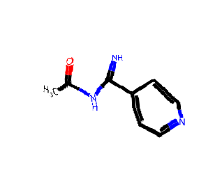 CC(=O)NC(=N)c1ccncc1